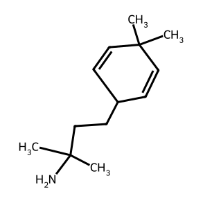 CC1(C)C=CC(CCC(C)(C)N)C=C1